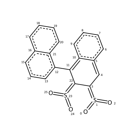 O=S(=O)=C1C=c2ccccc2=C(c2cccc3ccccc23)C1=S(=O)=O